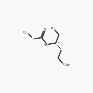 CSCC[C@@H](CO)NC(=O)OC(C)(C)C